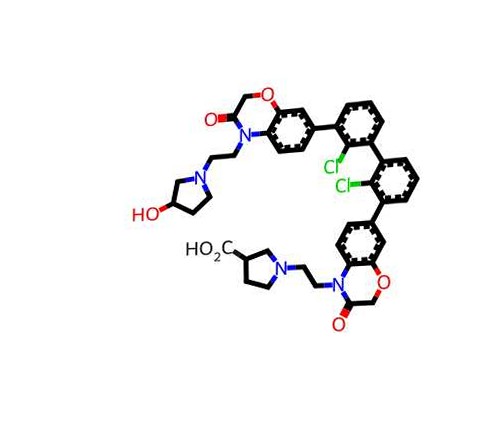 O=C(O)C1CCN(CCN2C(=O)COc3cc(-c4cccc(-c5cccc(-c6ccc7c(c6)OCC(=O)N7CCN6CCC(O)C6)c5Cl)c4Cl)ccc32)C1